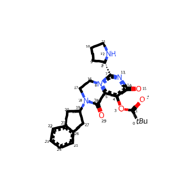 CC(C)(C)C(=O)Oc1c2n(c([C@@H]3CCCN3)nc1=O)CCN(C1Cc3ccccc3C1)C2=O